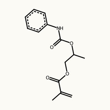 C=C(C)C(=O)OCC(C)OC(=O)Nc1ccccc1